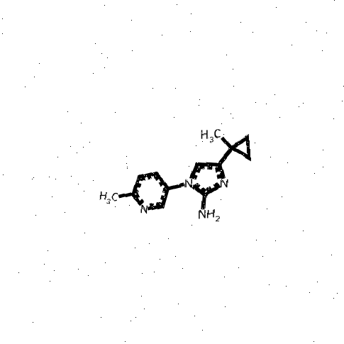 Cc1ccc(-n2cc(C3(C)CC3)nc2N)cn1